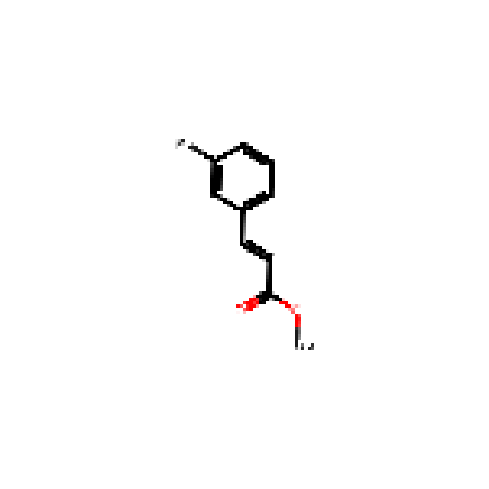 CC(C)c1cccc(/C=C/C(=O)OC(C)(C)C)c1